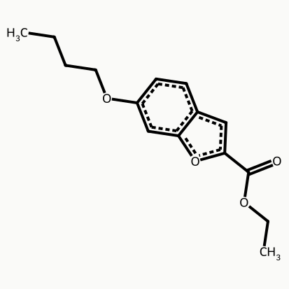 CCCCOc1ccc2cc(C(=O)OCC)oc2c1